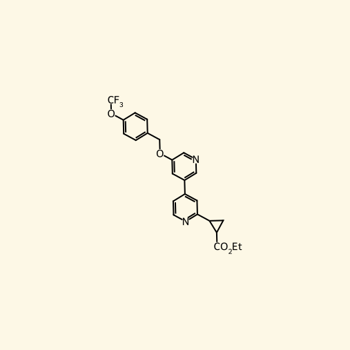 CCOC(=O)C1CC1c1cc(-c2cncc(OCc3ccc(OC(F)(F)F)cc3)c2)ccn1